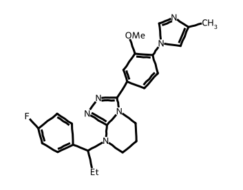 CCC(c1ccc(F)cc1)N1CCCn2c(-c3ccc(-n4cnc(C)c4)c(OC)c3)nnc21